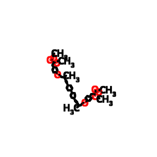 CCOC(=O)C(Cc1ccc(OCC=C(C)C#Cc2ccc(-c3ccc(C#CC(C)=CCOc4ccc(CC(OCC)C(=O)OCC)cc4)cc3)cc2)cc1)OCC